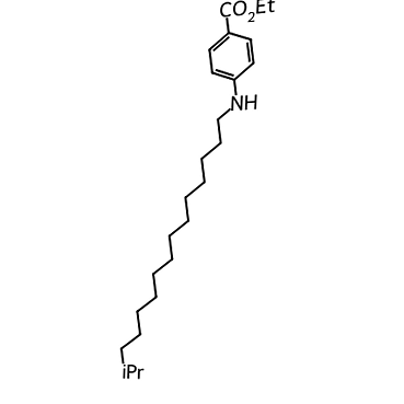 CCOC(=O)c1ccc(NCCCCCCCCCCCCCC(C)C)cc1